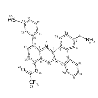 NCc1ccc(-c2nc3c(-c4cccc(S)c4)cnc(OC(=O)C(F)(F)F)c3cc2-c2ccccc2)cc1